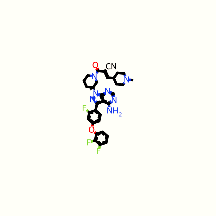 CN1CCC(C=C(C#N)C(=O)N2CCC[C@@H](n3nc(-c4ccc(Oc5cccc(F)c5F)cc4F)c4c(N)ncnc43)C2)CC1